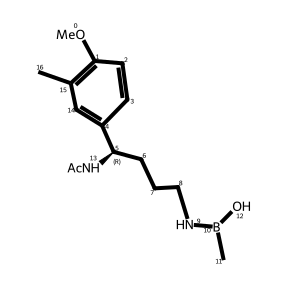 COc1ccc([C@@H](CCCNB(C)O)NC(C)=O)cc1C